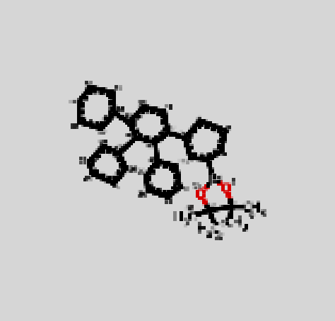 CC1(C)OB(c2cccc(-c3ccc(-c4ccccc4)c(-c4ccccc4)c3-c3ccccc3)c2)OC1(C)C